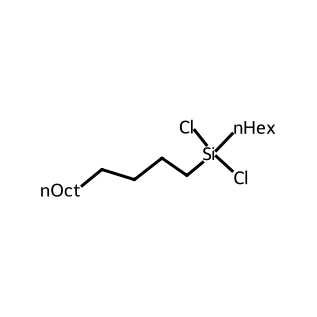 CCCCCCCCCCCC[Si](Cl)(Cl)CCCCCC